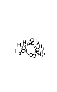 COC1(C)CC(C)CN(C)C=COC(=O)C(C)(C)C(=O)C(C)C1